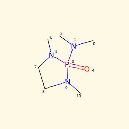 CN(C)P1(=O)N(C)CCN1C